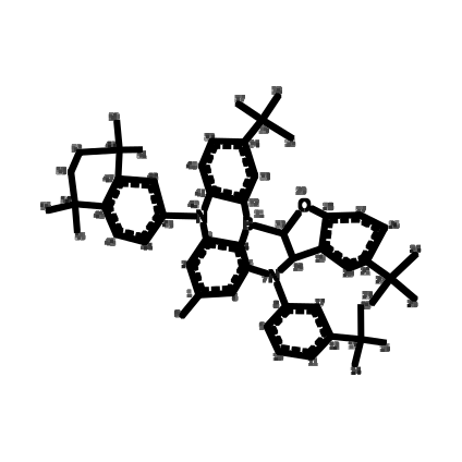 Cc1cc2c3c(c1)N(c1cccc(C(C)(C)C)c1)C1c4cc(C(C)(C)C)ccc4OC1B3c1cc(C(C)(C)C)ccc1N2c1ccc2c(c1)C(C)(C)CCC2(C)C